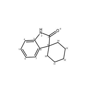 O=C1Nc2ccccc2C12CCCCC2